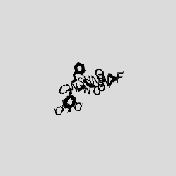 COc1cc(C(=O)N(CCCc2ccccc2)Cc2nc(C(=O)NS(=O)(=O)N3CC(F)C3)cs2)cc(OC)c1C